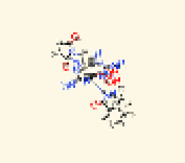 Cc1cccc(C(=O)NC2CN3C(=N)N[C@@H](CN4C(=O)CCC4=O)[C@@H]4NC(=N)NC43C2(O)O)c1C(C)(C)C